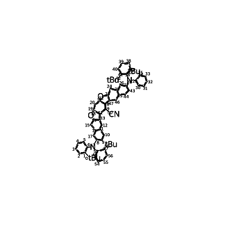 CC(C)(C)c1ccccc1N(c1ccc2cc3c(cc2c1)oc1cc2oc4cc5cc(N(c6ccccc6C(C)(C)C)c6ccccc6C(C)(C)C)ccc5cc4c2c(C#N)c13)c1ccccc1C(C)(C)C